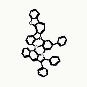 c1ccc(-c2cc3c4c(c2)-n2c5ccc6c7ccccc7oc6c5c5cccc(c52)B4c2c4ccccc4cc4c(-c5ccccc5)c(-c5ccccc5)n-3c24)cc1